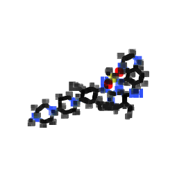 C=Cc1cnc(Nc2cc(CC)c(N3CCC(N4CCN(C)CC4)CC3)cc2OC)nc1Nc1ccc2nccnc2c1NS(C)(=O)=O